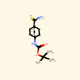 CC(C)(C)OC(=O)NC12CCC(C(N)=S)(CC1)CC2